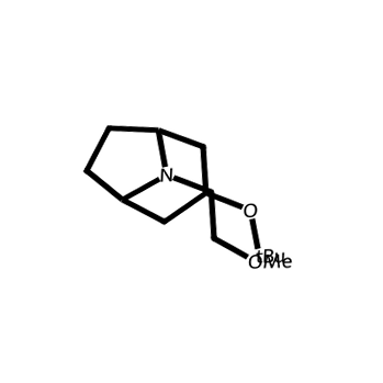 COCCN1C2CCC1CC(OC(C)(C)C)C2